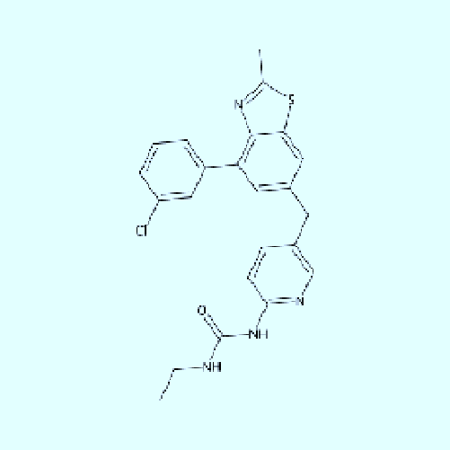 CCNC(=O)Nc1ccc(Cc2cc(-c3cccc(Cl)c3)c3nc(C)sc3c2)cn1